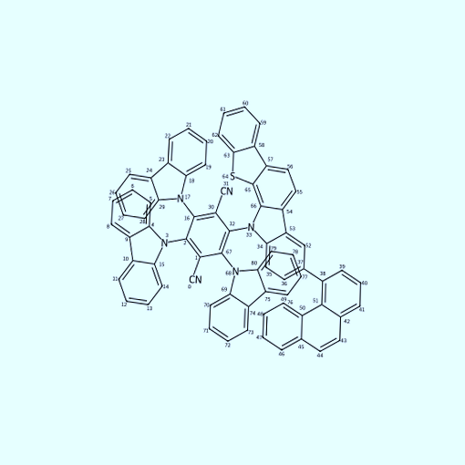 N#Cc1c(-n2c3ccccc3c3ccccc32)c(-n2c3ccccc3c3ccccc32)c(C#N)c(-n2c3ccc(-c4cccc5ccc6ccccc6c45)cc3c3ccc4c5ccccc5sc4c32)c1-n1c2ccccc2c2ccccc21